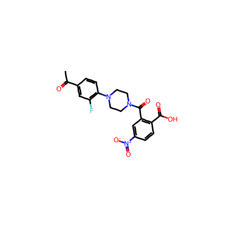 CC(=O)c1ccc(N2CCN(C(=O)c3cc([N+](=O)[O-])ccc3C(=O)O)CC2)c(F)c1